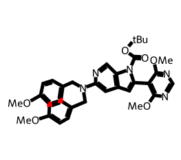 COc1ccc(CN(Cc2ccc(OC)cc2)c2cc3cc(-c4c(OC)ncnc4OC)n(C(=O)OC(C)(C)C)c3cn2)cc1